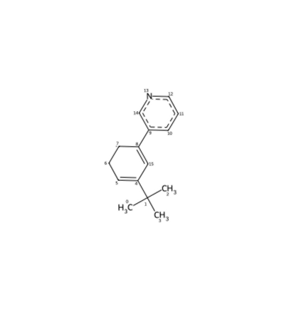 CC(C)(C)C1=CC[CH]C(c2cccnc2)=C1